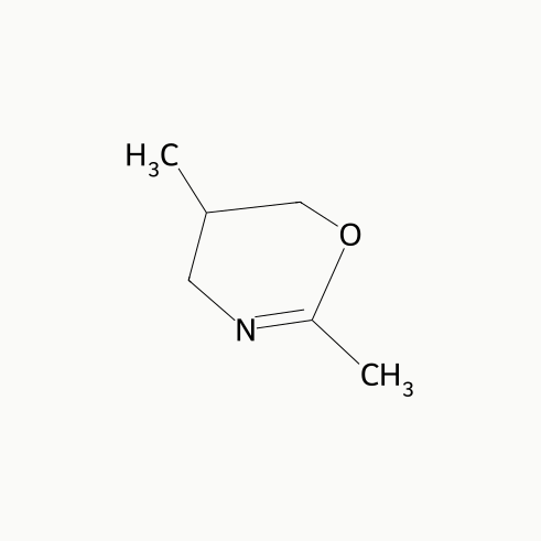 CC1=NCC(C)CO1